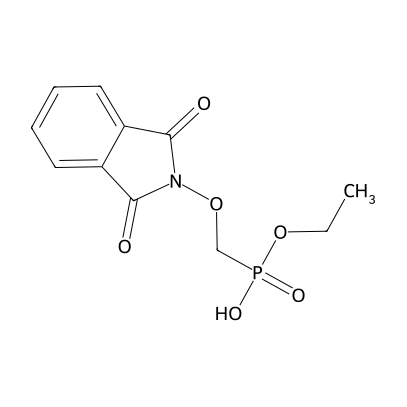 CCOP(=O)(O)CON1C(=O)c2ccccc2C1=O